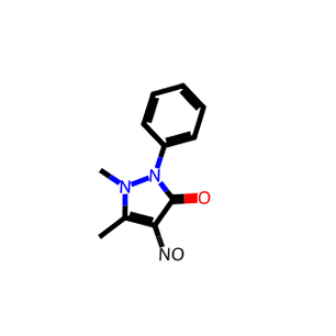 Cc1c(N=O)c(=O)n(-c2ccccc2)n1C